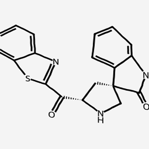 O=C(c1nc2ccccc2s1)[C@@H]1C[C@@]2(CN1)C(=O)Nc1ccccc12